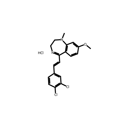 COc1ccc2c(c1)N(C)CCN=C2/C=C/c1ccc(Cl)c(Cl)c1.Cl